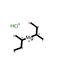 CC[CH](C)[Mg][CH](C)CC.Cl